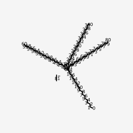 CCCCCCCCCCCCCCCCCCCC[N+](CCCCCCCCCCCCCCCCCCCC)(CCCCCCCCCCCCCCCCCCCC)CCCCCCCCCCCCCCCCCCCC.[I-]